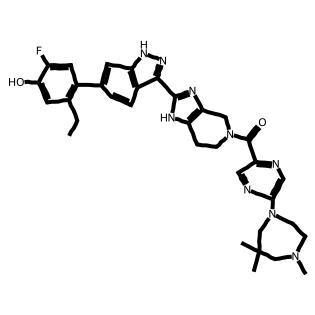 CCc1cc(O)c(F)cc1-c1ccc2c(-c3nc4c([nH]3)CCN(C(=O)c3cnc(N5CCN(C)CC(C)(C)C5)cn3)C4)n[nH]c2c1